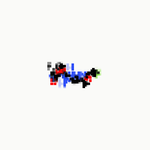 Cc1nocc1C(=O)N[C@@H](COC(C)(C)C(F)(F)F)c1nc2ccc([C@H](NC(=O)CC3CC(F)(F)C3)C3CC3)cc2[nH]1